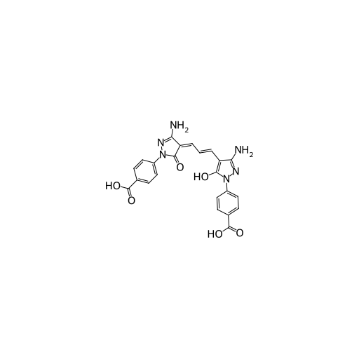 NC1=NN(c2ccc(C(=O)O)cc2)C(=O)C1=CC=Cc1c(N)nn(-c2ccc(C(=O)O)cc2)c1O